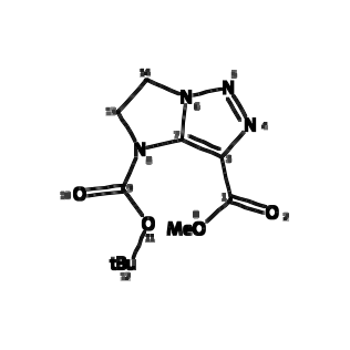 COC(=O)c1nnn2c1N(C(=O)OC(C)(C)C)CC2